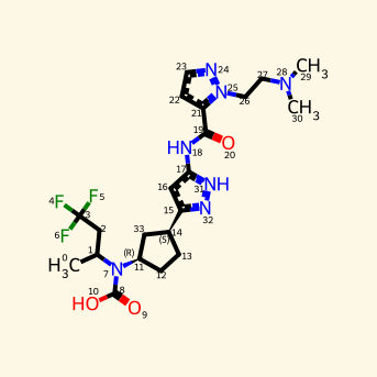 CC(CC(F)(F)F)N(C(=O)O)[C@@H]1CC[C@H](c2cc(NC(=O)c3ccnn3CCN(C)C)[nH]n2)C1